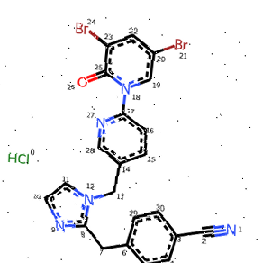 Cl.N#Cc1ccc(Cc2nccn2Cc2ccc(-n3cc(Br)cc(Br)c3=O)nc2)cc1